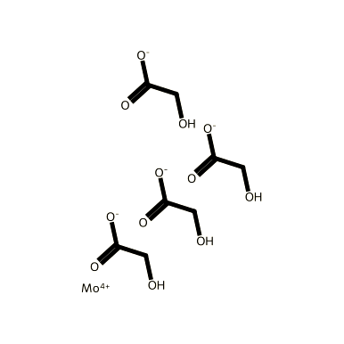 O=C([O-])CO.O=C([O-])CO.O=C([O-])CO.O=C([O-])CO.[Mo+4]